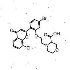 O=C(O)C1COCCN1CCOc1cc(Br)ccc1-c1cc(=O)c2cccc(Cl)c2o1